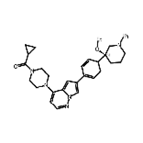 CCO[C@]1(C2C=CC(c3cc4c(N5CCN(C(=O)C6CC6)CC5)ccnn4c3)=CC2)CCCN(C(C)C)C1